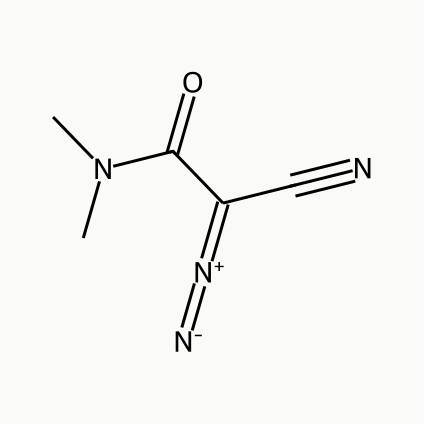 CN(C)C(=O)C(C#N)=[N+]=[N-]